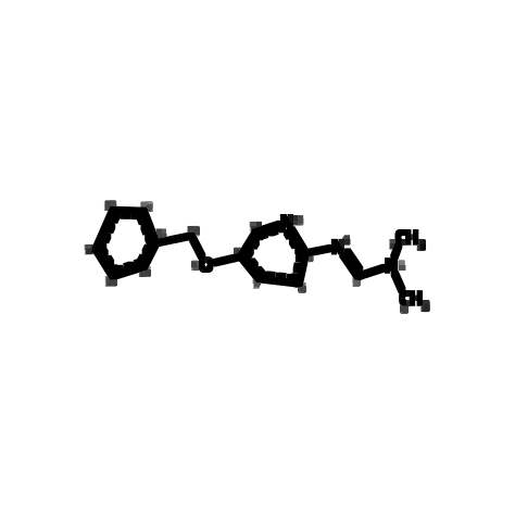 CN(C)C=Nc1ccc(OCc2ccccc2)cn1